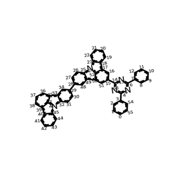 c1ccc(-c2nc(-c3ccccc3)nc(-c3cc4c5ccccc5n5c6ccc(-c7ccc8c(c7)c7cccc9c%10ccccc%10n8c97)cc6c(c3)c45)n2)cc1